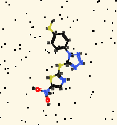 CSc1ccc(-n2nnnc2Sc2ncc([N+](=O)[O-])s2)cc1